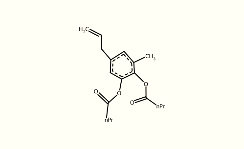 C=CCc1cc(C)c(OC(=O)CCC)c(OC(=O)CCC)c1